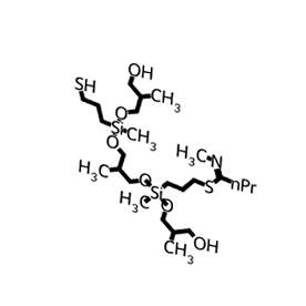 CCCC(=NC)SCCC[Si](C)(OCC(C)CO)OCC(C)CO[Si](C)(CCCS)OCC(C)CO